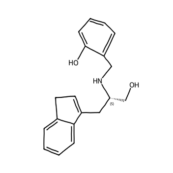 OC[C@H](CC1=CCc2ccccc21)NCc1ccccc1O